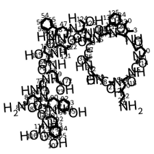 CCC(C)C1NC(=O)C2CCCN2C(=O)CNC(=O)C(CCCCN)NC(=O)CNC(=O)CNC(=O)CCC(C(=O)NC(C(=O)NC(Cc2c[nH]c3ccccc23)C(=O)NC(C(=O)NC(C(=O)NC(CCC(=O)O)C(=O)NCC(=O)NC(CC(N)=O)C(=O)NC(Cc2ccc(O)cc2)C(=O)NC(Cc2ccc(O)cc2)C(=O)NCC(=O)O)C(C)O)C(C)C)C(C)O)NC(=O)C(Cc2ccccc2)NC1=O